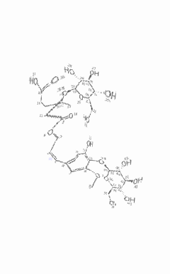 COc1cc(/C=C\COC(=O)CC(C)(CC(=O)O)O[C@@H]2O[C@H](CO)[C@@H](O)[C@H](O)[C@H]2O)cc(O)c1O[C@@H]1O[C@H](CO)[C@@H](O)[C@H](O)[C@H]1O